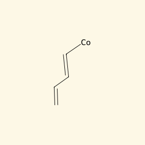 C=CC=[CH][Co]